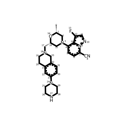 C[C@@H]1CN(c2ccc(C#N)n3ncc(F)c23)C[C@H](CN2CCc3cc(N4CCNCC4)ccc3C2)O1